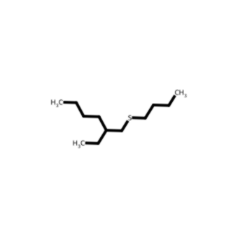 CCCCSCC(CC)CCCC